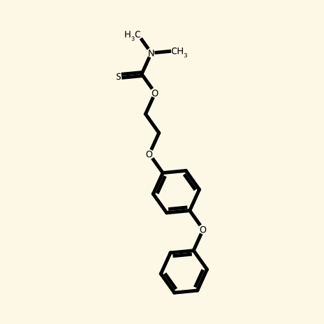 CN(C)C(=S)OCCOc1ccc(Oc2ccccc2)cc1